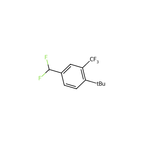 CC(C)(C)c1ccc([C](F)F)cc1C(F)(F)F